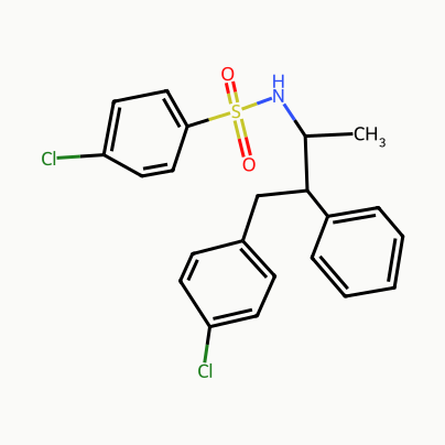 CC(NS(=O)(=O)c1ccc(Cl)cc1)C(Cc1ccc(Cl)cc1)c1ccccc1